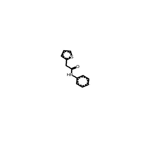 O=C(Cc1cccs1)Nc1cc[c]cc1